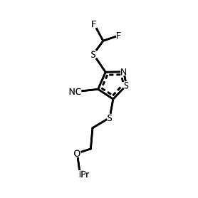 CC(C)OCCSc1snc(SC(F)F)c1C#N